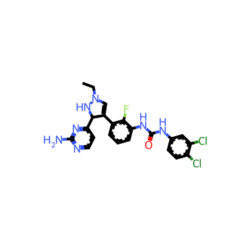 CCN1C=C(c2cccc(NC(=O)Nc3ccc(Cl)c(Cl)c3)c2F)C(c2ccnc(N)n2)N1